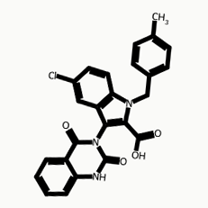 Cc1ccc(Cn2c(C(=O)O)c(-n3c(=O)[nH]c4ccccc4c3=O)c3cc(Cl)ccc32)cc1